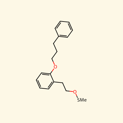 CSOCCc1ccccc1OCCCc1ccccc1